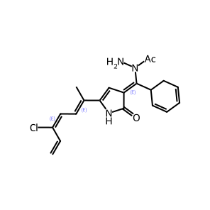 C=C/C(Cl)=C\C=C(/C)C1=C/C(=C(/C2C=CC=CC2)N(N)C(C)=O)C(=O)N1